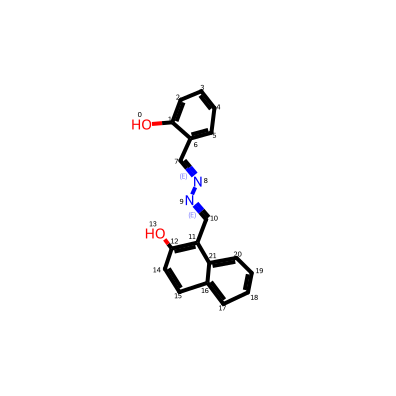 Oc1ccccc1/C=N/N=C/c1c(O)ccc2ccccc12